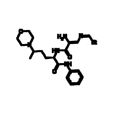 CC/C=N\C=C(/N)C(=O)N[C@H](CCC(C)N1CCOCC1)C(=O)Nc1ccccc1